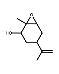 C=C(C)C1CC(O)C2(C)OC2C1